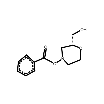 O=C(ON1CCO[C@@H](CO)C1)c1ccccc1